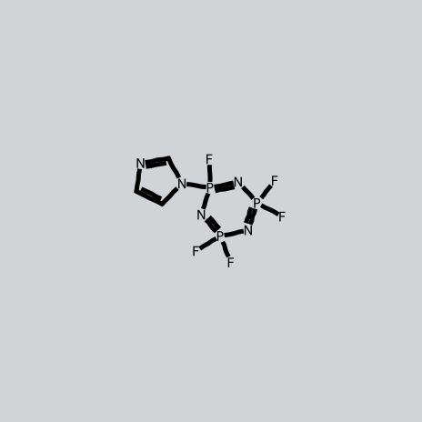 FP1(F)=NP(F)(F)=NP(F)(n2ccnc2)=N1